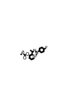 CC(=NN(I)c1ccc(F)cc1)c1ncccc1OC(=O)N(C)C